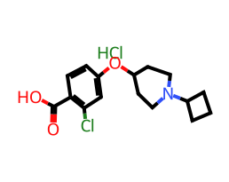 Cl.O=C(O)c1ccc(OC2CCN(C3CCC3)CC2)cc1Cl